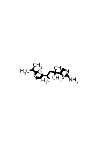 CC(C)c1ncc(C(C)CC(C)(C)c2cnc(N)s2)o1